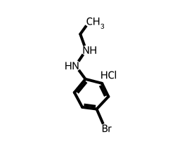 CCNNc1ccc(Br)cc1.Cl